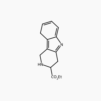 CCOC(=O)C1CC2=NC3=CC=CCC3=C2CN1